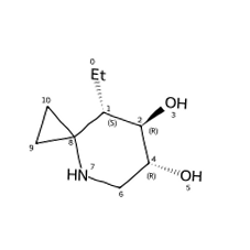 CC[C@@H]1[C@@H](O)[C@H](O)CNC12CC2